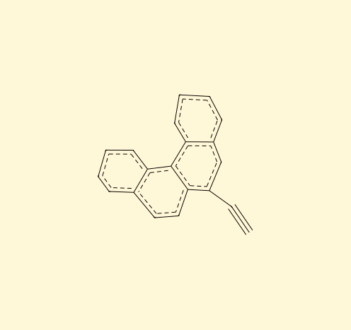 C#Cc1cc2ccccc2c2c1ccc1ccccc12